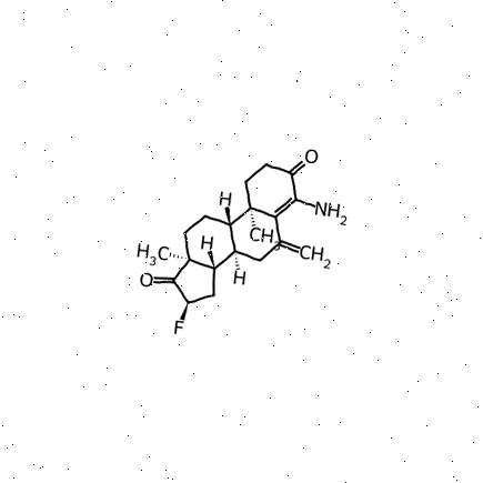 C=C1C[C@@H]2[C@H](CC[C@]3(C)C(=O)[C@H](F)C[C@@H]23)[C@@]2(C)CCC(=O)C(N)=C12